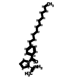 C=C(N)[C@@H]1CCCN1C(=O)c1ccc(CCCCCCCCCCCC)cc1